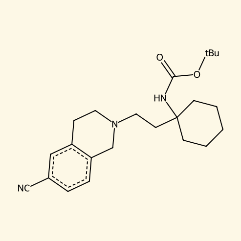 CC(C)(C)OC(=O)NC1(CCN2CCc3cc(C#N)ccc3C2)CCCCC1